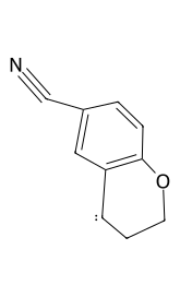 N#Cc1ccc2c(c1)[C]CCO2